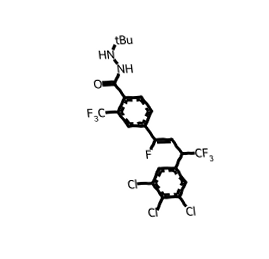 CC(C)(C)NNC(=O)c1ccc(/C(F)=C/C(c2cc(Cl)c(Cl)c(Cl)c2)C(F)(F)F)cc1C(F)(F)F